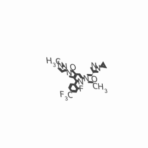 C[C@@H]1CN(c2cc3c(c(-c4ccc(C(F)(F)F)cc4F)n2)CN(c2ccn(C)n2)C3=O)C[C@H](c2cnn(C3CC3)c2)O1